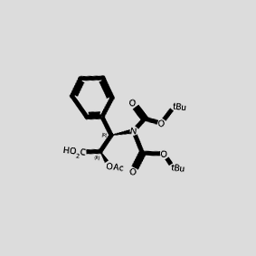 CC(=O)O[C@@H](C(=O)O)[C@@H](c1ccccc1)N(C(=O)OC(C)(C)C)C(=O)OC(C)(C)C